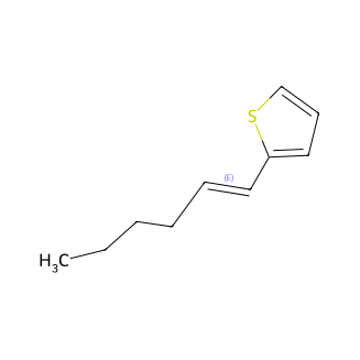 CCCC/C=C/c1cccs1